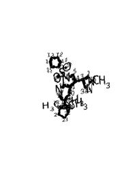 Cn1cc(-c2cn(S(=O)(=O)c3ccccc3)c3ncc(C4CC5CC[C@]4(C)C5(C)C)cc23)cn1